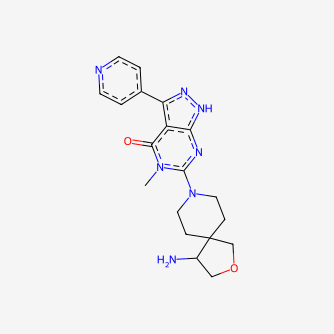 Cn1c(N2CCC3(CC2)COCC3N)nc2[nH]nc(-c3ccncc3)c2c1=O